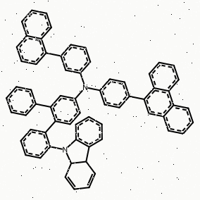 C1=CC2c3ccccc3N(c3ccccc3-c3ccc(N(c4ccc(-c5cc6ccccc6c6ccccc56)cc4)c4cccc(-c5cccc6ccccc56)c4)cc3-c3ccccc3)C2C=C1